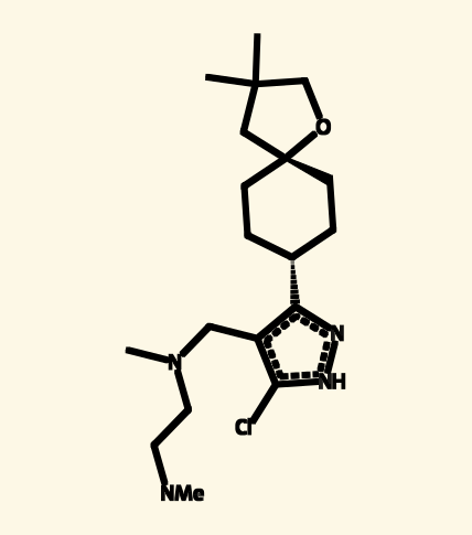 CNCCN(C)Cc1c(Cl)[nH]nc1[C@H]1CC[C@@]2(CC1)CC(C)(C)CO2